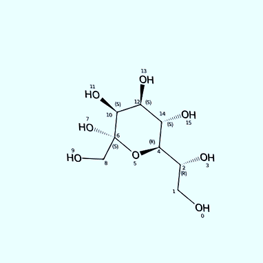 OC[C@@H](O)[C@H]1O[C@@](O)(CO)[C@@H](O)[C@@H](O)[C@@H]1O